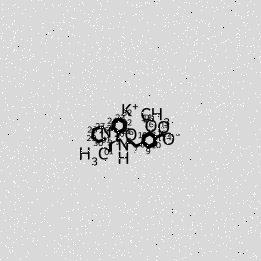 CCC[C@H](NC(=O)Cc1ccc(C(=O)[O-])c(OCC)c1)c1ccccc1N1CCCCC1.[K+]